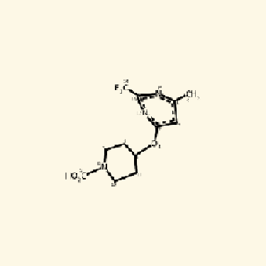 Cc1cc(OC2CCN(C(=O)O)CC2)nc(C(F)(F)F)n1